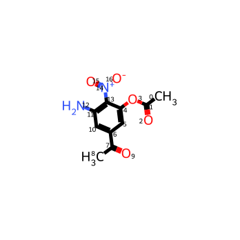 CC(=O)Oc1cc(C(C)=O)cc(N)c1[N+](=O)[O-]